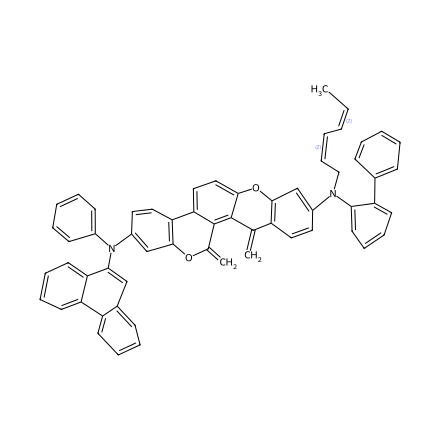 C=C1c2ccc(N(C/C=C\C=C/C)c3ccccc3-c3ccccc3)cc2Oc2ccc3c(c21)C(=C)Oc1cc(N(c2ccccc2)c2cc4ccccc4c4ccccc24)ccc1-3